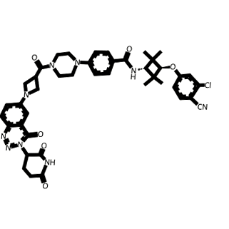 CC1(C)[C@H](NC(=O)c2ccc(N3CCN(C(=O)C4CN(c5ccc6nnn(C7CCC(=O)NC7=O)c(=O)c6c5)C4)CC3)cc2)C(C)(C)[C@H]1Oc1ccc(C#N)c(Cl)c1